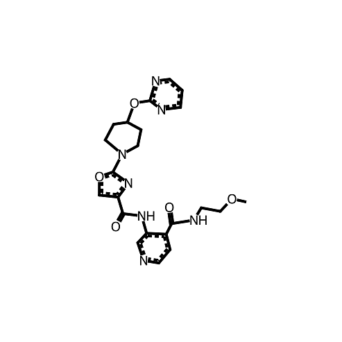 COCCNC(=O)c1ccncc1NC(=O)c1coc(N2CCC(Oc3ncccn3)CC2)n1